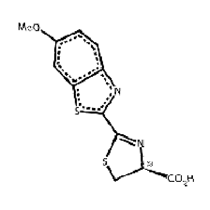 COc1ccc2nc(C3=N[C@@H](C(=O)O)CS3)sc2c1